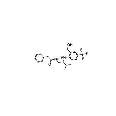 CC(C)[C@H](CNC(=O)Cc1ccccc1)Nc1ccc(C(F)(F)F)cc1CO